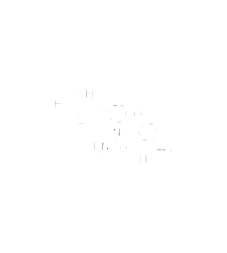 CC(C)(C)COc1ccc2c(c1)C1(COC(N)=N1)c1cc(C(=O)O)ccc1O2